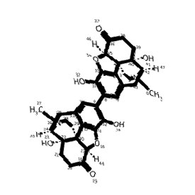 CN1CC[C@]23c4c5cc(-c6cc7c8c(c6O)O[C@H]6C(=O)CC[C@@]9(O)[C@@H](C7)N(C)CC[C@]869)c(O)c4O[C@H]2C(=O)CC[C@@]3(O)[C@H]1C5